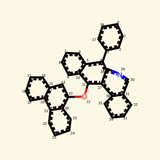 c1ccc(-c2c3ccccc3c(Oc3cc4ccccc4c4ccccc34)c3c2ncc2ccccc23)cc1